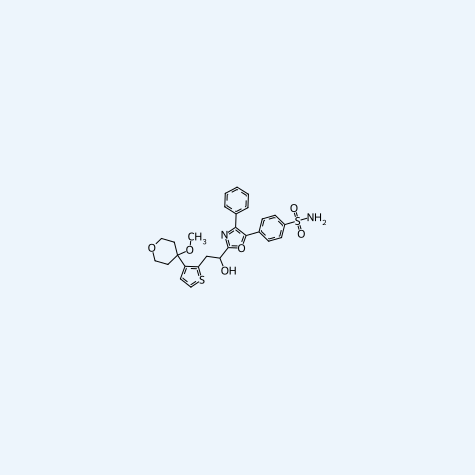 COC1(c2ccsc2CC(O)c2nc(-c3ccccc3)c(-c3ccc(S(N)(=O)=O)cc3)o2)CCOCC1